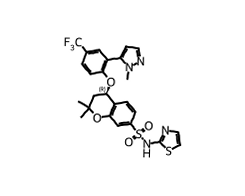 Cn1nccc1-c1cc(C(F)(F)F)ccc1O[C@@H]1CC(C)(C)Oc2cc(S(=O)(=O)Nc3nccs3)ccc21